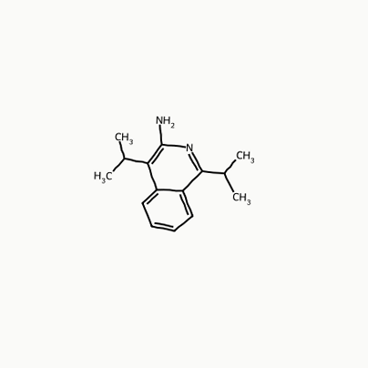 CC(C)c1nc(N)c(C(C)C)c2ccccc12